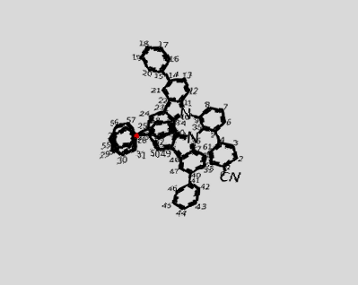 N#Cc1ccc(-c2cccc(-n3c4ccc(-c5ccccc5)cc4c4cc(-c5ccccc5)ccc43)c2-n2c3ccc(-c4ccccc4)cc3c3cc(-c4ccccc4)ccc32)cc1